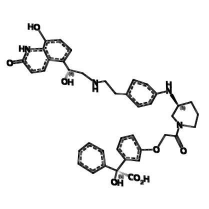 O=C(COc1cccc([C@](O)(C(=O)O)c2ccccc2)c1)N1CCC[C@H](Nc2ccc(CCNC[C@H](O)c3ccc(O)c4[nH]c(=O)ccc34)cc2)C1